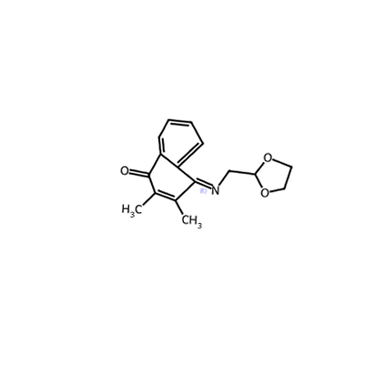 CC1=C(C)/C(=N/CC2OCCO2)c2ccccc2C1=O